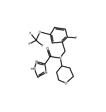 O=C(c1nc[nH]n1)N(Cc1cc(OC(F)(F)F)ccc1F)C1CCOCC1